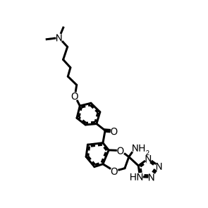 CN(C)CCCCCOc1ccc(C(=O)c2cccc3c2OC(N)(c2nnn[nH]2)CO3)cc1